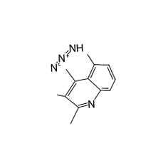 Cc1nc2cccc(C)c2c(C)c1C.[N-]=[N+]=N